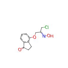 O=C1CCc2c(OCC(CCl)=NO)cccc21